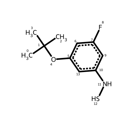 CC(C)(C)Oc1cc(F)cc(NS)c1